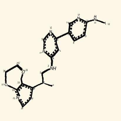 C[C@H](CNc1cc(-c2ccc(NI)nc2)ncn1)c1ccnc2c1OCCO2